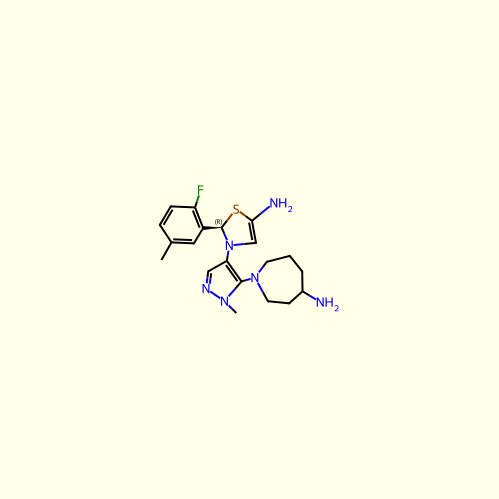 Cc1ccc(F)c([C@H]2SC(N)=CN2c2cnn(C)c2N2CCCC(N)CC2)c1